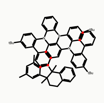 Cc1cc(C)c2c(c1)C1(C)CCc3ccccc3C1(C)N2c1cc2c3c(c1)N(c1ccc(C(C)(C)C)cc1-c1ccccc1)c1cc(C(C)(C)C)ccc1B3c1ccccc1N2c1ccc(C(C)(C)C)cc1-c1ccccc1